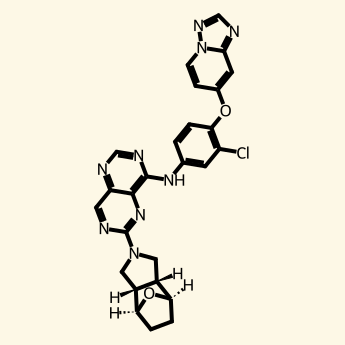 Clc1cc(Nc2ncnc3cnc(N4C[C@@H]5[C@H](C4)[C@H]4CC[C@@H]5O4)nc23)ccc1Oc1ccn2ncnc2c1